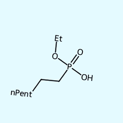 CCCCCCCP(=O)(O)OCC